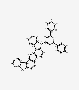 c1ccc2c(c1)oc1ccc3c4ccc5c(c6ccccc6n5-c5cc(-c6ccncc6)cc(-c6ccncc6)c5)c4sc3c12